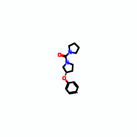 O=C(N1CCCC1)N1CC[C@H](Oc2cc[c]cc2)C1